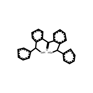 O=C(c1ccccc1C([SeH])c1ccccc1)c1ccccc1C([SeH])c1ccccc1